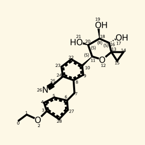 CCOc1ccc(Cc2cc([C@@H]3OC4(CC4)[C@@H](O)[C@H](O)[C@@H]3O)ccc2C#N)cc1